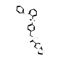 O=C(NCc1ccc(S(=O)(=O)c2ccccc2Oc2ccccc2)cc1)c1cnc2nccn2c1